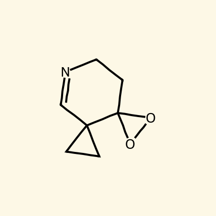 C1=NCCC2(OO2)C12CC2